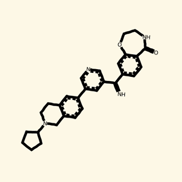 N=C(c1cncc(-c2ccc3c(c2)CCN(C2CCCC2)C3)c1)c1ccc2c(c1)OCCNC2=O